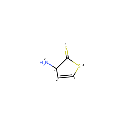 NC1C=CSC1=S